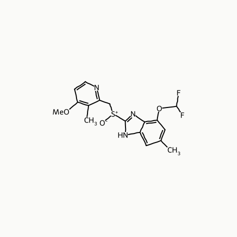 COc1ccnc(C[S+]([O-])c2nc3c(OC(F)F)cc(C)cc3[nH]2)c1C